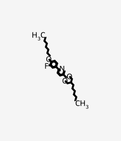 CCCCCCCCOc1ccc(-c2ccc(C3OCC(CCCCCCC)CO3)cn2)cc1F